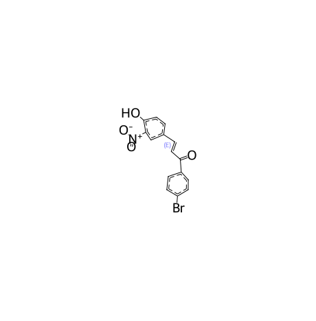 O=C(/C=C/c1ccc(O)c([N+](=O)[O-])c1)c1ccc(Br)cc1